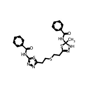 CC1(NC(=O)c2ccccc2)NN=C(CCSCCc2nnc(NC(=O)c3ccccc3)s2)S1